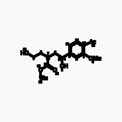 COc1cc([C@@H](O)CN(CCO)C(=O)OC(C)(C)C)ccc1C(C)=O